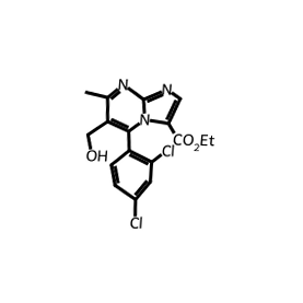 CCOC(=O)c1cnc2nc(C)c(CO)c(-c3ccc(Cl)cc3Cl)n12